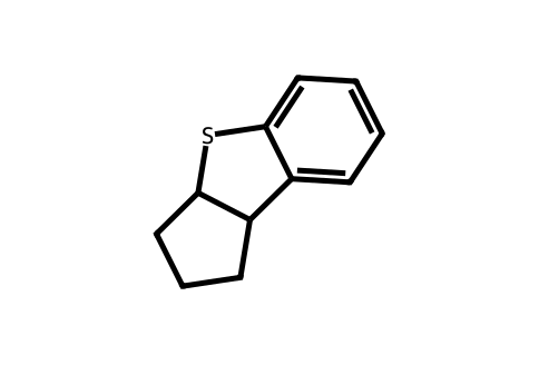 c1ccc2c(c1)SC1CCCC21